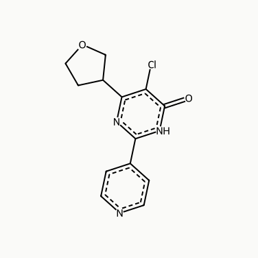 O=c1[nH]c(-c2ccncc2)nc(C2CCOC2)c1Cl